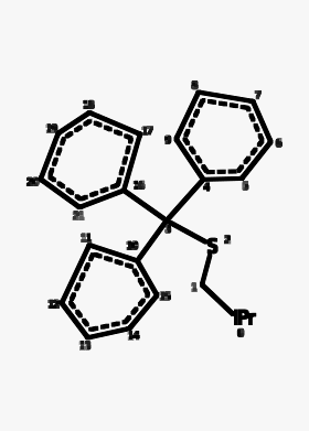 CC(C)CSC(c1ccccc1)(c1ccccc1)c1ccccc1